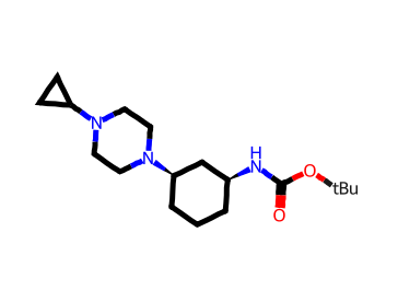 CC(C)(C)OC(=O)N[C@H]1CCC[C@@H](N2CCN(C3CC3)CC2)C1